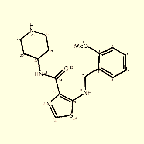 COc1ccccc1CNc1scnc1C(=O)NC1CCNCC1